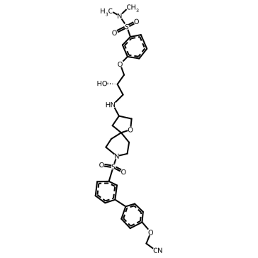 CN(C)S(=O)(=O)c1cccc(OC[C@@H](O)CNC2COC3(CCN(S(=O)(=O)c4cccc(-c5ccc(OCC#N)cc5)c4)CC3)C2)c1